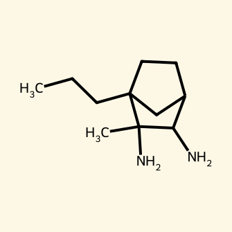 CCCC12CCC(C1)C(N)C2(C)N